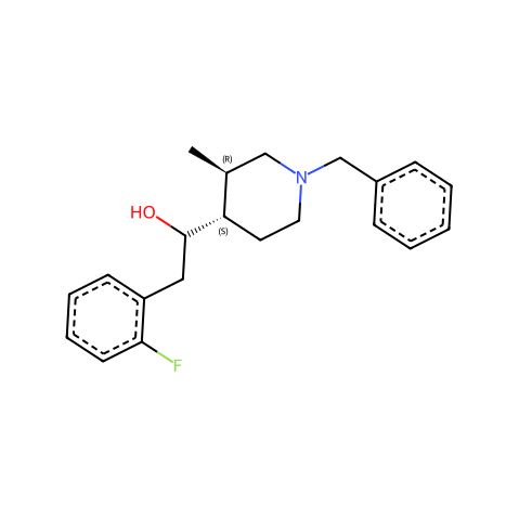 C[C@H]1CN(Cc2ccccc2)CC[C@@H]1C(O)Cc1ccccc1F